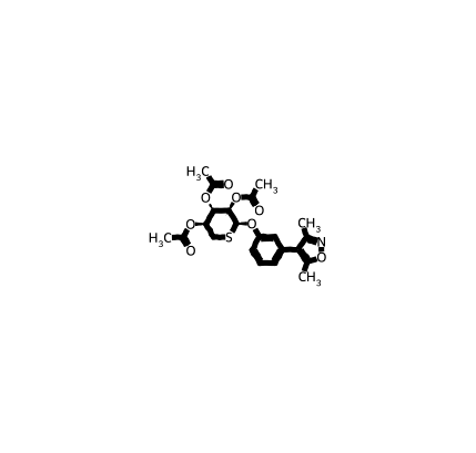 CC(=O)O[C@@H]1[C@@H](OC(C)=O)[C@@H](Oc2cccc(-c3c(C)noc3C)c2)SC[C@H]1OC(C)=O